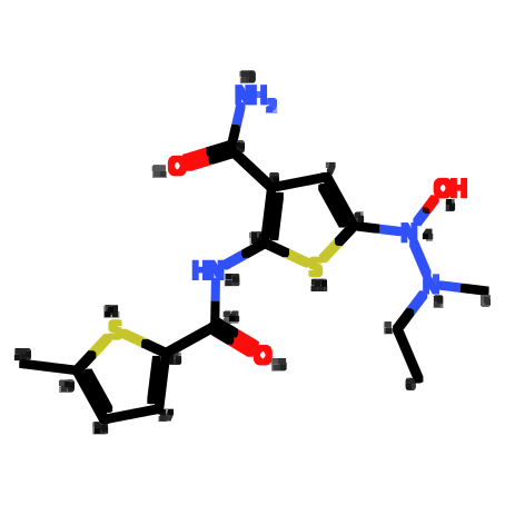 CCN(C)N(O)c1cc(C(N)=O)c(NC(=O)c2ccc(C)s2)s1